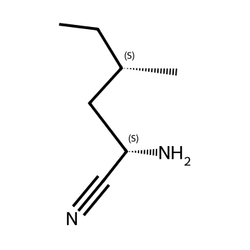 CC[C@H](C)C[C@H](N)C#N